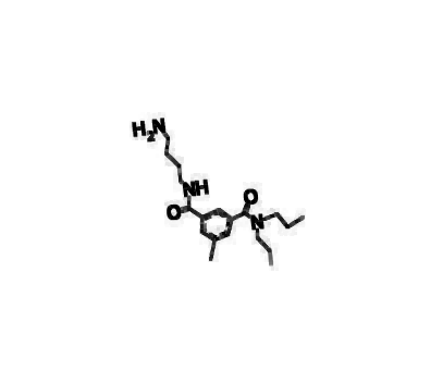 CCCN(CCC)C(=O)c1cc(C)cc(C(=O)NCCCCN)c1